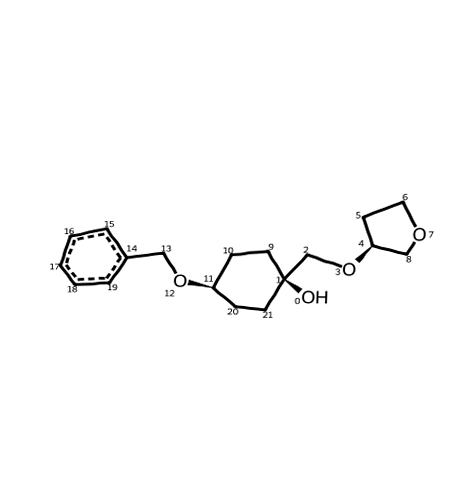 O[C@]1(CO[C@H]2CCOC2)CC[C@H](OCc2ccccc2)CC1